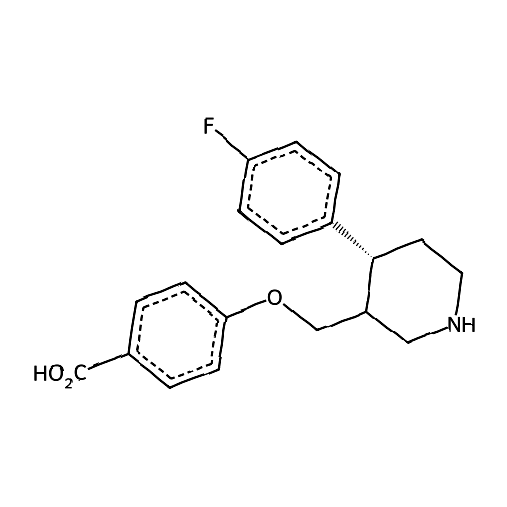 O=C(O)c1ccc(OCC2CNCC[C@H]2c2ccc(F)cc2)cc1